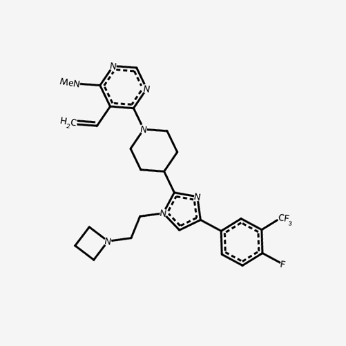 C=Cc1c(NC)ncnc1N1CCC(c2nc(-c3ccc(F)c(C(F)(F)F)c3)cn2CCN2CCC2)CC1